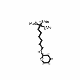 CSC(CCCCCCOC1CCCCO1)(SC)SC